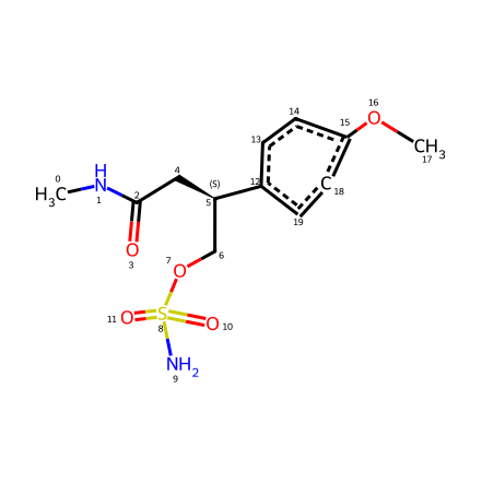 CNC(=O)C[C@H](COS(N)(=O)=O)c1ccc(OC)cc1